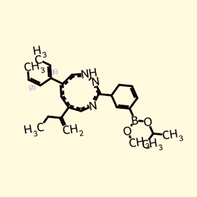 C=C(CC)c1cnc(C2C=C(B(OC)OC(C)C)C=CC2)n[nH]cc(C(/C=C\C)=C/C)c1